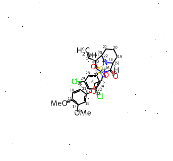 C=C[C@@H]1CN(CCOc2ccc(OC)c(OC)c2)C(=O)[C@@H]2CCC[C@H]1N2S(=O)(=O)c1cc(Cl)cc(Cl)c1